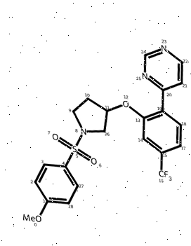 COc1ccc(S(=O)(=O)N2CCC(Oc3cc(C(F)(F)F)ccc3-c3ccncn3)C2)cc1